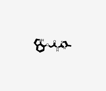 Cc1csc(NC(=O)COc2cccc3cc[nH]c23)n1